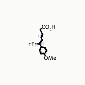 CCC/C(=C\C=C\CC(=O)O)c1ccc(OC)cc1